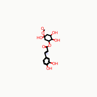 O=COC1(O)CC(O)C(O)C(OC(=O)/C=C/c2ccc(O)c(O)c2)C1